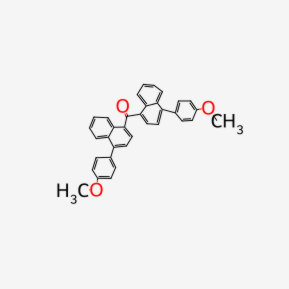 COc1ccc(-c2ccc(C(=O)c3ccc(-c4ccc(OC)cc4)c4ccccc34)c3ccccc23)cc1